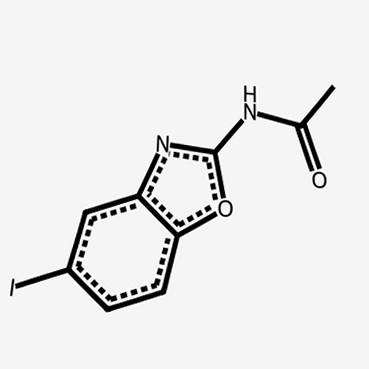 CC(=O)Nc1nc2cc(I)ccc2o1